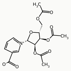 CC(=O)OC[C@H]1O[C@@H]([n+]2cccc(C(=O)[O-])c2)[C@H](OC(C)=O)[C@@H]1OC(C)=O